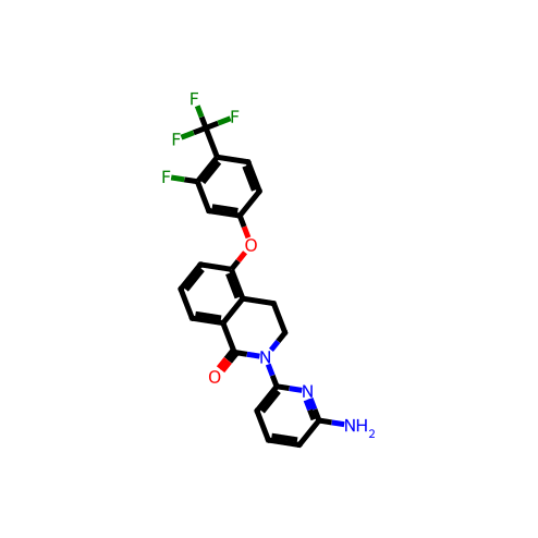 Nc1cccc(N2CCc3c(Oc4ccc(C(F)(F)F)c(F)c4)cccc3C2=O)n1